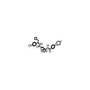 CN1CCN(c2ccc(C(=O)Nc3n[nH]c4sc(C(=O)NN(CC5CCC5)c5ccc(Cl)cc5)cc34)cc2)CC1